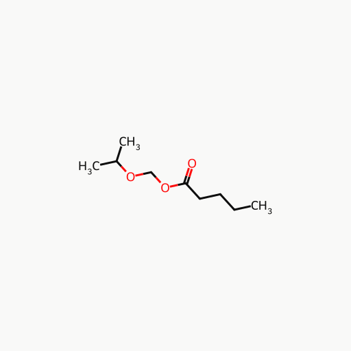 CCCCC(=O)OCOC(C)C